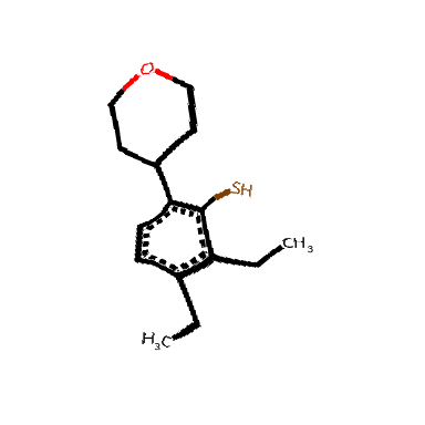 CCc1ccc(C2CCOCC2)c(S)c1CC